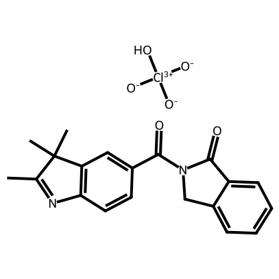 CC1=Nc2ccc(C(=O)N3Cc4ccccc4C3=O)cc2C1(C)C.[O-][Cl+3]([O-])([O-])O